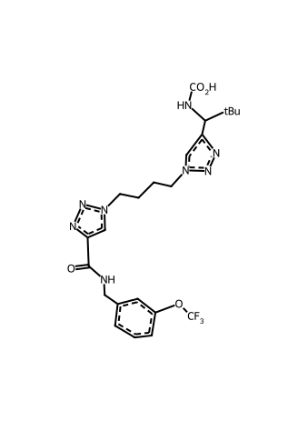 CC(C)(C)C(NC(=O)O)c1cn(CCCCn2cc(C(=O)NCc3cccc(OC(F)(F)F)c3)nn2)nn1